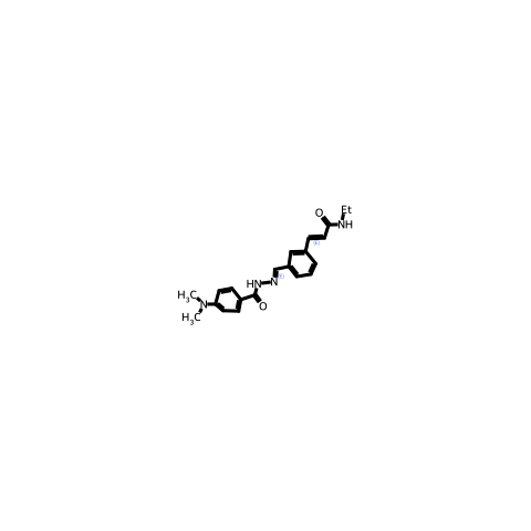 CCNC(=O)/C=C/c1cccc(/C=N/NC(=O)c2ccc(N(C)C)cc2)c1